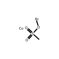 CC(=O)OS(C)(=O)=O.[Cu]